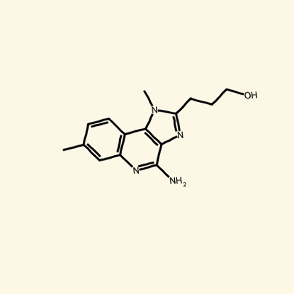 Cc1ccc2c(c1)nc(N)c1nc(CCCO)n(C)c12